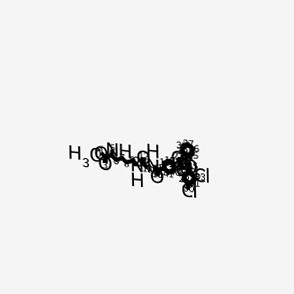 COC(=O)C(N)CCCCNC(=O)CNC(=O)c1ccc(S(=O)(=O)N(Oc2ccc(Cl)cc2Cl)c2ccccc2)cc1